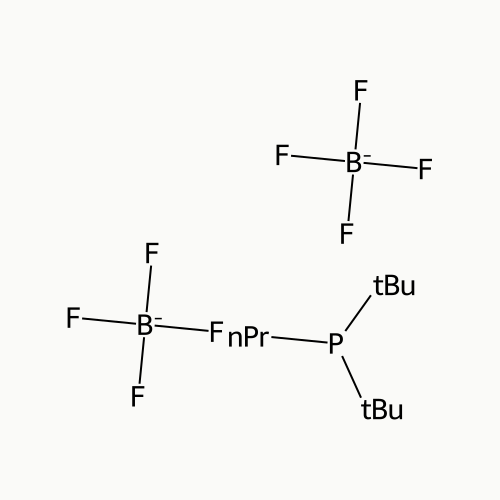 CCCP(C(C)(C)C)C(C)(C)C.F[B-](F)(F)F.F[B-](F)(F)F